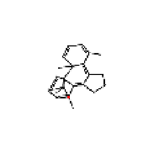 CC1=CC=CC2(C)C1=C1CCCC1=C1C(C)=CC=CC12C(F)(F)F